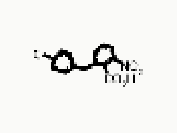 O=C(O)c1c(Cc2ccc(Cl)cc2)cccc1[N+](=O)[O-]